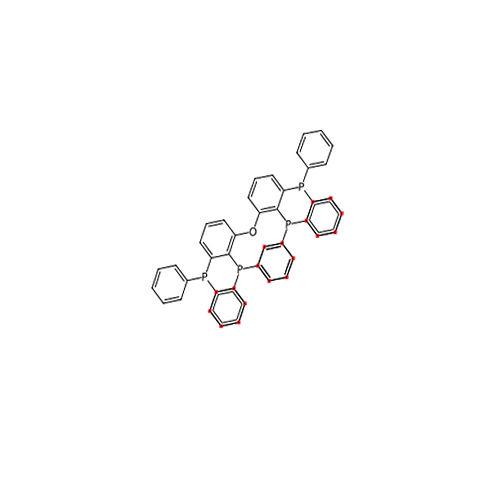 c1ccc(P(c2ccccc2)c2cccc(Oc3cccc(P(c4ccccc4)c4ccccc4)c3P(c3ccccc3)c3ccccc3)c2P(c2ccccc2)c2ccccc2)cc1